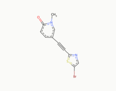 Cn1cc(C#Cc2ncc(Br)s2)ccc1=O